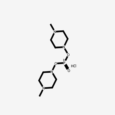 CN1CCN(O[PH](=O)ON2CCN(C)CC2)CC1.Cl